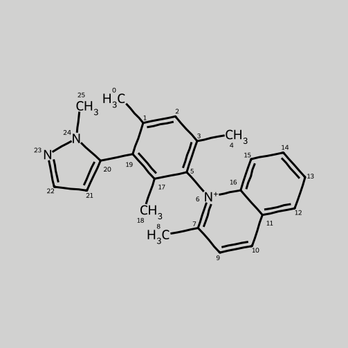 Cc1cc(C)c(-[n+]2c(C)ccc3ccccc32)c(C)c1-c1ccnn1C